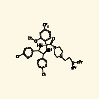 CCCN(CCC)CCN1CCN(C(=O)C2(c3ccc(C(F)(F)F)cc3OCC)NC(c3ccc(Cl)cc3)C(c3ccc(Cl)cc3)N2)CC1